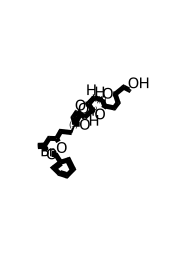 C=C(Br)CC(CC[C@@]12CC3OC4[C@@H](OC5CCC(CCO)O[C@@H]5[C@H]4O1)C3O2)OC(=O)c1ccccc1